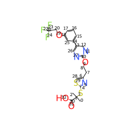 CC(C)(Sc1nc(CCOc2ncc(-c3cccc(OCC(F)(F)F)c3)cn2)cs1)C(=O)O